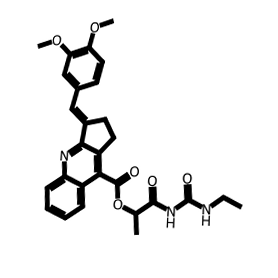 CCNC(=O)NC(=O)C(C)OC(=O)c1c2c(nc3ccccc13)/C(=C/c1ccc(OC)c(OC)c1)CC2